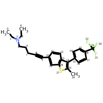 CCN(CC)CCCC#Cc1ccc2c(-c3ccc(C(F)(F)F)cc3)c(C)sc2c1